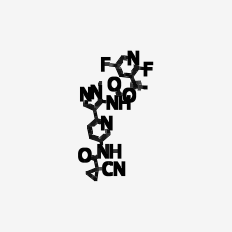 C[C@@H](OC(=O)Nc1c(-c2ccc(NC(=O)C3(C#N)CC3)cn2)cnn1C)c1cc(F)cnc1F